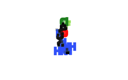 C[C@H](c1ccc(F)c(Cl)c1)n1ccc(-c2ccnc(Nc3ncc[nH]3)n2)cc1=O